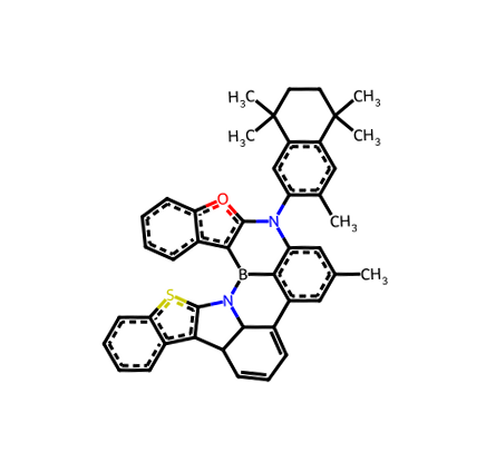 Cc1cc2c3c(c1)N(c1cc4c(cc1C)C(C)(C)CCC4(C)C)c1oc4ccccc4c1B3N1c3sc4ccccc4c3C3C=CC=C2C31